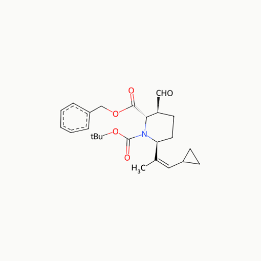 C/C(=C/C1CC1)[C@@H]1CC[C@H](C=O)[C@@H](C(=O)OCc2ccccc2)N1C(=O)OC(C)(C)C